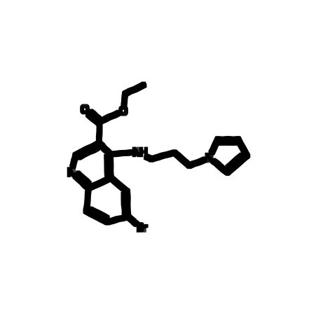 CCOC(=O)c1cnc2ccc(Br)cc2c1NCCCn1cccc1